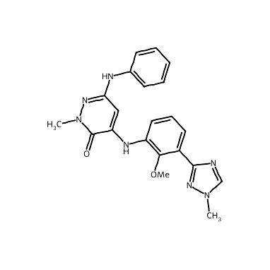 COc1c(Nc2cc(Nc3ccccc3)nn(C)c2=O)cccc1-c1ncn(C)n1